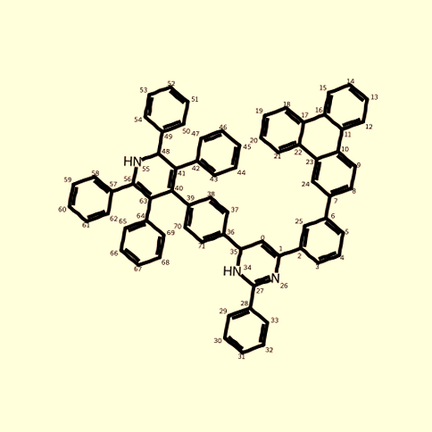 C1=C(c2cccc(-c3ccc4c5ccccc5c5ccccc5c4c3)c2)N=C(c2ccccc2)NC1c1ccc(C2=C(c3ccccc3)C(c3ccccc3)NC(c3ccccc3)=C2c2ccccc2)cc1